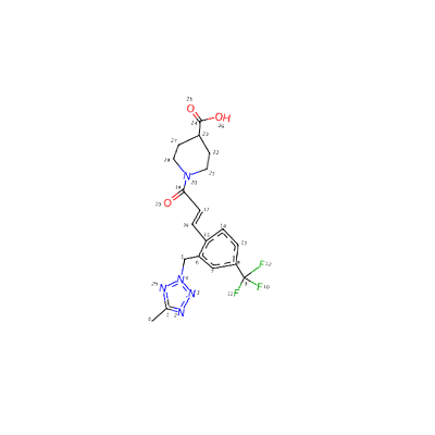 Cc1nnn(Cc2cc(C(F)(F)F)ccc2/C=C/C(=O)N2CCC(C(=O)O)CC2)n1